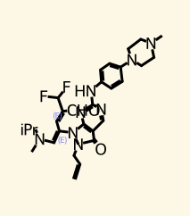 C=CCn1c(=O)c2cnc(Nc3ccc(N4CCN(C)CC4)cc3)nc2n1C(/C=C(\C=O)C(F)F)=C/N(C)C(C)C